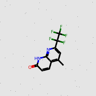 Cc1cc(C(F)(F)C(F)(F)F)nc2[nH]c(=O)ccc12